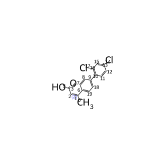 C/C(=C/C(=O)O)c1ccc(-c2ccc(Cl)cc2Cl)cc1